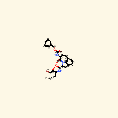 O=C(O)CC(NC(=O)[C@@H]1Cc2cccc3c2N1C(=O)C(NC(=O)OCc1ccccc1)CC3)C(=O)CBr